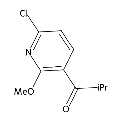 COc1nc(Cl)ccc1C(=O)C(C)C